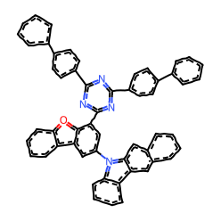 c1ccc(-c2ccc(-c3nc(-c4ccc(-c5ccccc5)cc4)nc(-c4cc(-n5c6ccccc6c6cc7ccccc7cc65)cc5c4oc4ccccc45)n3)cc2)cc1